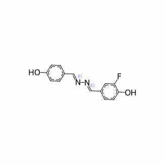 Oc1ccc(/C=N/N=C/c2ccc(O)c(F)c2)cc1